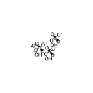 O=S(=O)([O-])OO.O=S(=O)([O-])OO.O=S(=O)([O-])OO.[Al+3]